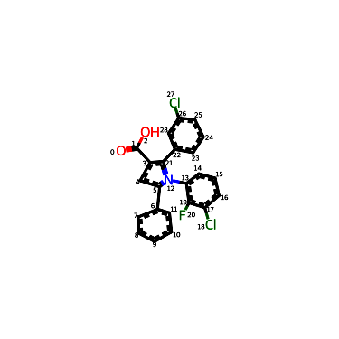 O=C(O)c1cc(-c2ccccc2)n(-c2cccc(Cl)c2F)c1-c1cccc(Cl)c1